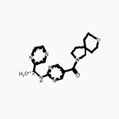 C[C@@H](Nc1ncc(C(=O)N2CCC3(CCOCC3)C2)cn1)c1cnccn1